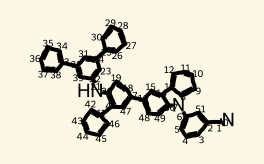 N#Cc1cccc(-n2c3ccccc3c3cc(-c4ccc(Nc5cc(-c6ccccc6)cc(-c6ccccc6)c5)c(-c5ccccc5)c4)ccc32)c1